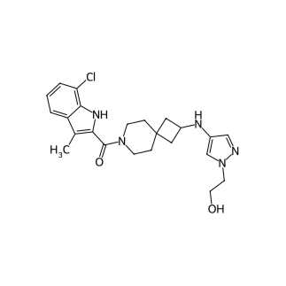 Cc1c(C(=O)N2CCC3(CC2)CC(Nc2cnn(CCO)c2)C3)[nH]c2c(Cl)cccc12